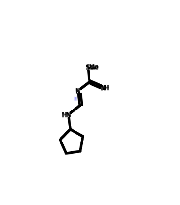 CSC(=N)/N=C/NC1CCCC1